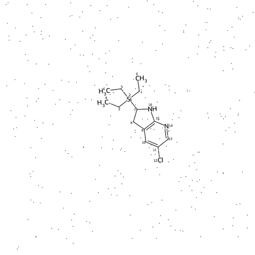 CC[Si](CC)(CC)C1Cc2cc(Cl)cnc2N1